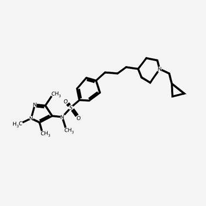 Cc1nn(C)c(C)c1N(C)S(=O)(=O)c1ccc(CCCC2CCN(CC3CC3)CC2)cc1